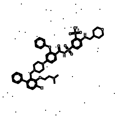 CN(C)CCOc1c(Cl)ccc(-c2ccccc2)c1CN1CCN(c2ccc(C(=O)NS(=O)(=O)c3ccc(NCC4CCOCC4)c(S(=O)(=O)C(F)(F)F)c3)c(Oc3ccccc3)c2)CC1